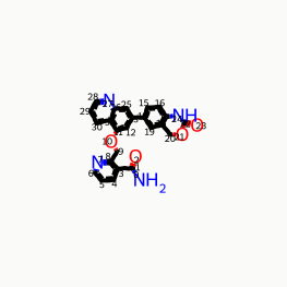 NC(=O)c1cccnc1COc1cc(-c2ccc3c(c2)COC(=O)N3)cc2ncccc12